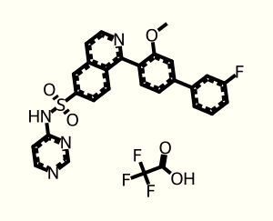 COc1cc(-c2cccc(F)c2)ccc1-c1nccc2cc(S(=O)(=O)Nc3ccncn3)ccc12.O=C(O)C(F)(F)F